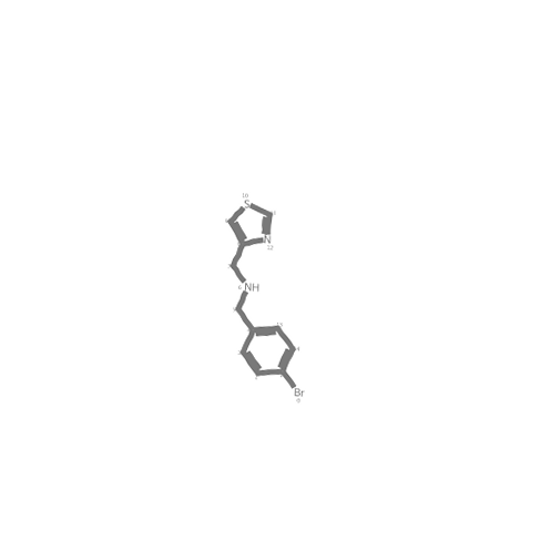 Brc1ccc(CNCc2cs[c]n2)cc1